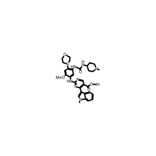 COc1cc(N2CCOCC2)c(NC(=O)NC2CCN(C)CC2)cc1Nc1ncc(C(=O)OC(C)C)c(-c2cn(C)c3ccccc23)n1